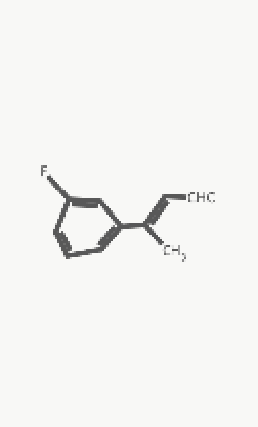 CC(=CC=O)c1cccc(F)c1